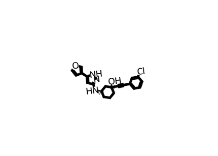 O[C@]1(C#Cc2cccc(Cl)c2)CCC[C@@H](Nc2cc(-c3ccoc3)[nH]n2)C1